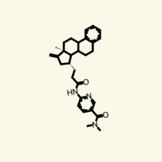 C=C1C[C@@H](CCC(=O)Nc2ccc(C(=O)N(C)C)cn2)C2C3CCc4ccccc4C3CC[C@]12C